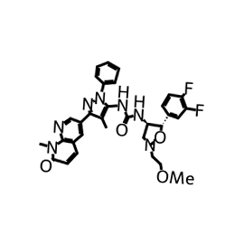 COCCN1C[C@@H](NC(=O)Nc2c(C)c(-c3cnc4c(ccc(=O)n4C)c3)nn2-c2ccccc2)[C@H](c2ccc(F)c(F)c2)O1